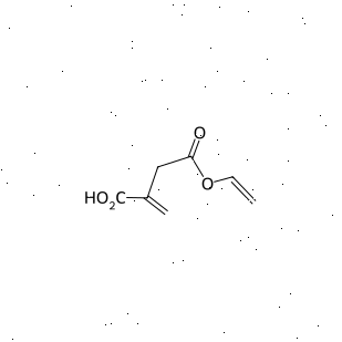 C=COC(=O)CC(=C)C(=O)O